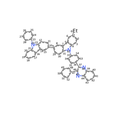 CCc1ccc2c(c1)c1cc(-c3ccc4c(c3)c3ccccc3n4-c3ccccc3)ccc1n2-c1ccc(-c2nc3ccccc3nc2-c2ccccc2)cc1